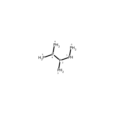 PPP(P)P(P)P